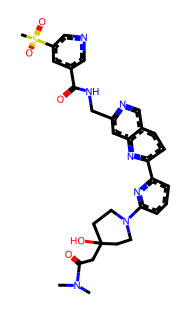 CN(C)C(=O)CC1(O)CCN(c2cccc(-c3ccc4cnc(CNC(=O)c5cncc(S(C)(=O)=O)c5)cc4n3)n2)CC1